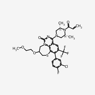 C=CC(=O)N1[C@H](C)CN(c2nc(=O)n3c4c(c(-c5ccc(F)c(Cl)c5)c(C(F)(F)F)cc24)SCC(OCCOC)C3)C[C@@H]1C